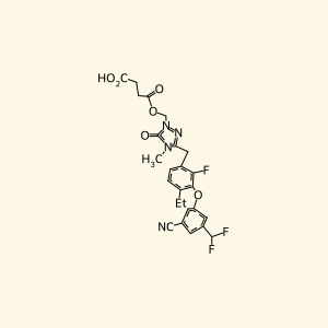 CCc1ccc(Cc2nn(COC(=O)CCC(=O)O)c(=O)n2C)c(F)c1Oc1cc(C#N)cc(C(F)F)c1